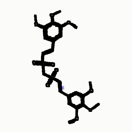 COc1cc(C=CS(=O)(=O)CS(=O)(=O)/C=C/c2cc(OC)c(OC)c(OC)c2)cc(OC)c1OC